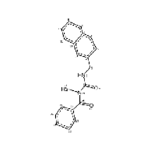 O=C(NCc1ccc2ccccc2c1)N(S)C(=O)c1ccccc1